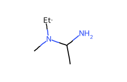 C[CH]N(C)C(C)N